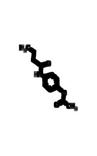 CCCC(=O)Nc1ccc(OC(C)=O)cc1